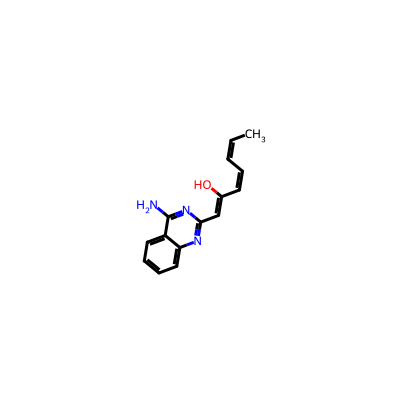 C\C=C/C=C\C(O)=C\c1nc(N)c2ccccc2n1